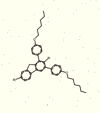 CCCCCCOc1ccc(-c2cc3c(c(-c4ccc(OCCCCCC)cc4)c2Br)Cc2cc(Br)ccc2-3)cc1